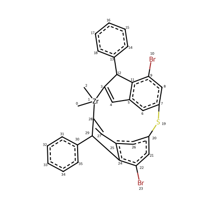 [CH3][Zr]1([CH3])[C]2=Cc3cc(cc(Br)c3C2c2ccccc2)Sc2cc(Br)c3c(c2)C=[C]1C3c1ccccc1